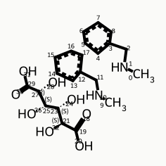 CNCc1ccccc1.CNCc1ccccc1.O=C(O)[C@@H](O)[C@@H](O)[C@H](O)[C@@H](O)C(=O)O